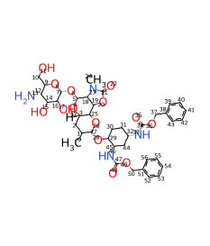 CC1C[C@@H]2OC(O[C@H]3OC(CO)[C@@H](N)[C@H](O)C3O)C3C(OC(=O)N3C)C2O[C@@H]1O[C@H]1CC[C@H](NC(=O)OCc2ccccc2)CC1NC(=O)OCc1ccccc1